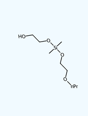 CCCOCCO[Si](C)(C)OCCO